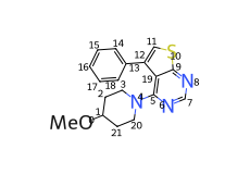 COC1CCN(c2ncnc3scc(-c4ccccc4)c23)CC1